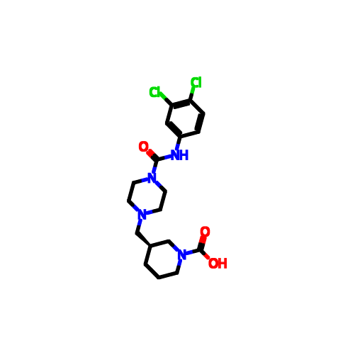 O=C(O)N1CCC[C@@H](CN2CCN(C(=O)Nc3ccc(Cl)c(Cl)c3)CC2)C1